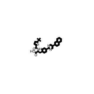 CC(C)(C)c1ccc(C(=O)NC(Cc2ccc(-c3ncc(-c4ccc5ccccc5c4)cn3)cc2)C(=O)O)s1